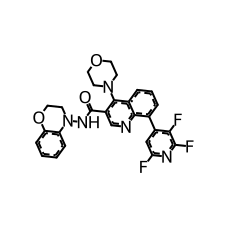 O=C(NN1CCOc2ccccc21)c1cnc2c(-c3cc(F)nc(F)c3F)cccc2c1N1CCOCC1